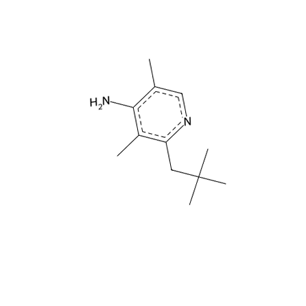 Cc1cnc(CC(C)(C)C)c(C)c1N